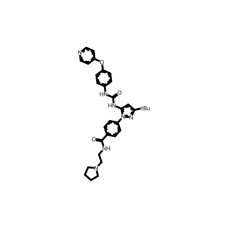 CC(C)(C)c1cc(NC(=O)Nc2ccc(Oc3ccncc3)cc2)n(-c2ccc(C(=O)NCCN3CCCC3)cc2)n1